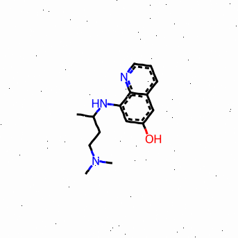 CC(CCN(C)C)Nc1cc(O)cc2cccnc12